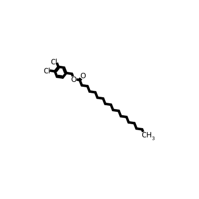 CCCCCCCCCCCCCCCCCC(=O)OCc1ccc(Cl)c(Cl)c1